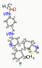 CC(=O)Nc1ccc(CNc2cnc(-c3ccc(F)c(C)c3)c(-c3ccc4ncsc4c3)c2)cc1